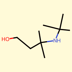 CC(C)(C)NC(C)(C)CCO